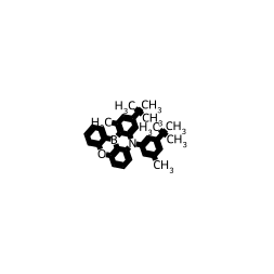 Cc1cc(N2c3cc(C(C)(C)C)cc(C)c3B3c4ccccc4Oc4cccc2c43)cc(C(C)(C)C)c1